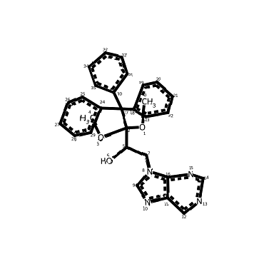 COC(OC)(C(O)Cn1cnc2cncnc21)C(c1ccccc1)(c1ccccc1)c1ccccc1